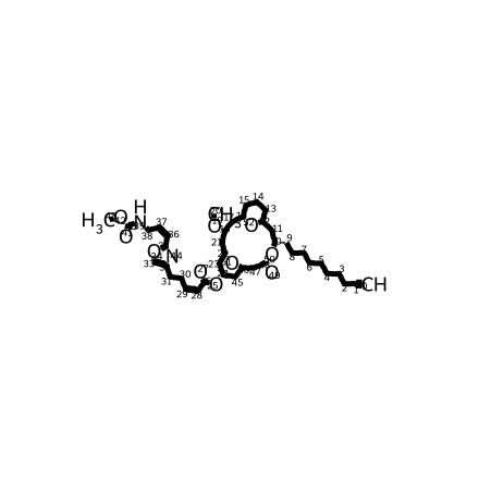 C#CCCCCCCCC[C@H]1CC2CCCC(C[C@@H](OC)CC3C[C@@H](OC(=O)/C=C\CCc4coc(/C=C\CNC(=O)OC)n4)CC(CC(=O)O1)O3)O2